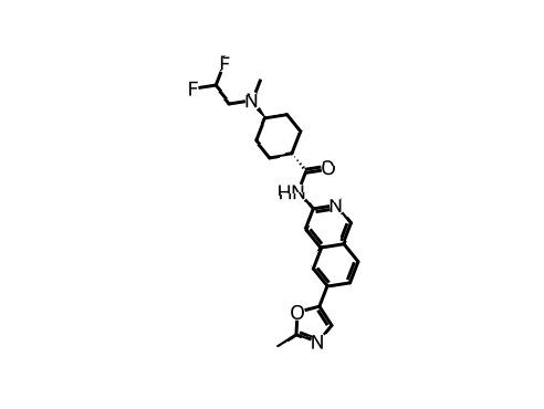 Cc1ncc(-c2ccc3cnc(NC(=O)[C@H]4CC[C@H](N(C)CC(F)F)CC4)cc3c2)o1